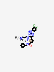 CN(C)CCCNc1nc(Nc2ccc(F)c(Cl)c2)ncc1-c1ccc(C(=O)NCc2ccccc2)s1